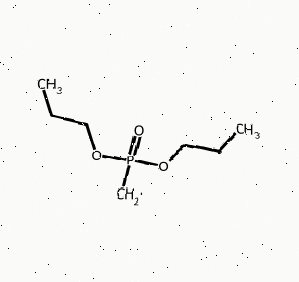 [CH2]P(=O)(OCCC)OCCC